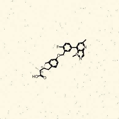 Cc1cc(-c2ccc(F)c(COc3ccc4c(c3)C[C@@H]([C@@H](C)C(=O)O)C4)c2)c2c(cnn2C)n1